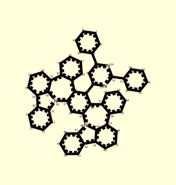 c1ccc(-c2cc(-c3c4c5ccccc5c5cccc6c7ccccc7n(c4cc4c3c3ccccc3c3cccc7c8ccccc8n4c37)c56)nc(-c3ccccc3)n2)cc1